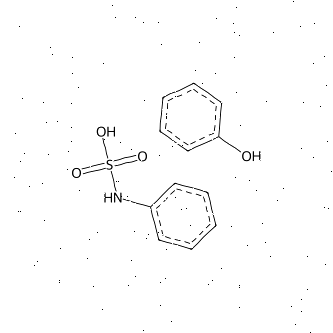 O=S(=O)(O)Nc1ccccc1.Oc1ccccc1